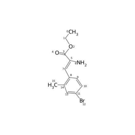 CCOC(=O)/C(N)=C/c1ccc(Br)cc1C